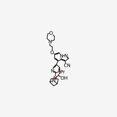 CC(C)C(O)CN1C2CC1CN(c1ccc(-c3cc(OCCN4CCOCC4)cn4ncc(C#N)c34)cn1)C2